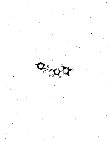 Cc1ccc(S(=O)(=O)OC[C@H]2O[C@@H](n3nc(C)c(=O)[nH]c3=O)[C@@H](O)[C@@H]2O)cc1